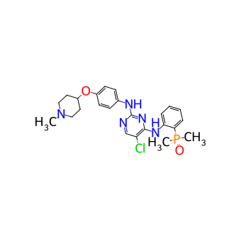 CN1CCC(Oc2ccc(Nc3ncc(Cl)c(Nc4ccccc4P(C)(C)=O)n3)cc2)CC1